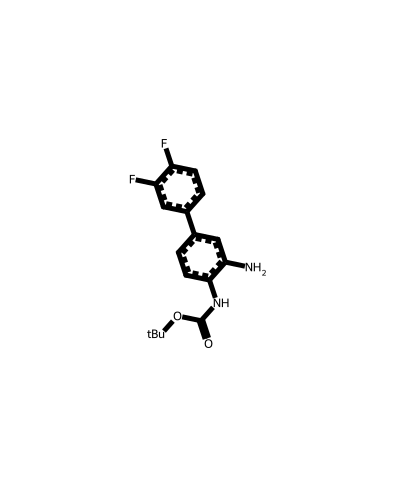 CC(C)(C)OC(=O)Nc1ccc(-c2ccc(F)c(F)c2)cc1N